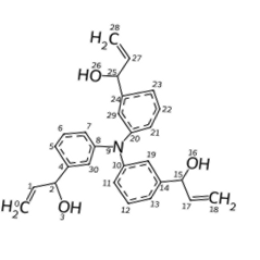 C=CC(O)c1cccc(N(c2cccc(C(O)C=C)c2)c2cccc(C(O)C=C)c2)c1